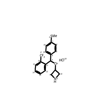 CSc1ccc(C(OC2CNC2)c2ccccc2C(F)(F)F)cc1.Cl